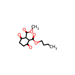 CCCCOC(=O)C1C(=O)CCC(=O)C1C(=O)OC